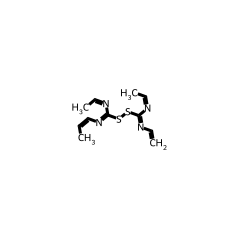 C=C/N=C(\N=C/C)SSC(/N=C\C)=N/C=C\C